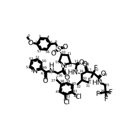 COc1ccc(CS(=O)(=O)[C@@H]2C[C@@H](C(=O)N[C@H](C(=O)C(F)(F)C(=O)NCC(F)(F)F)C(C)C)N(C(=O)[C@H](Cc3ccc(Cl)c(Cl)c3)NC(=O)c3ccccn3)C2)cc1